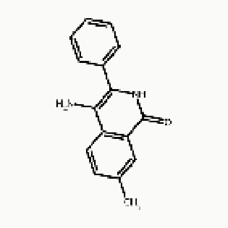 Cc1ccc2c(N)c(-c3ccccc3)[nH]c(=O)c2c1